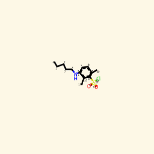 CCCCCNc1ccc(C)c(S(=O)(=O)Cl)c1C